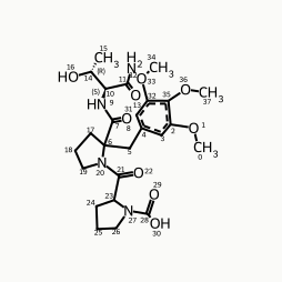 COc1cc(CC2(C(=O)N[C@H](C(N)=O)[C@@H](C)O)CCCN2C(=O)C2CCCN2C(=O)O)cc(OC)c1OC